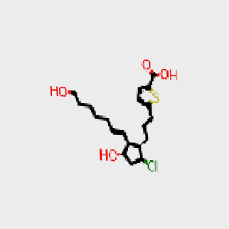 O=C(O)c1ccc(CCC[C@H]2C(Cl)C[C@@H](O)C2C=CCCCCCO)s1